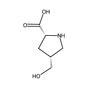 O=C(O)[C@H]1C[C@@H](CO)CN1